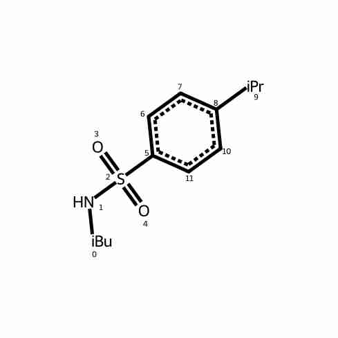 CCC(C)NS(=O)(=O)c1ccc(C(C)C)cc1